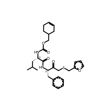 CC(C)C[C@H](NC(=O)OCC1CC=CCC1)C(=O)N[C@@H](Cc1ccccc1)C(=O)CSCc1ccco1